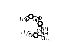 COc1ccc(C(C)NC(=O)Nc2ccc(S(=O)(=O)Cc3ccc4c(c3)CNC4)cc2)cc1